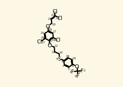 FC(F)(F)Oc1ccc(SCCCOc2c(Cl)cc(OCC=C(Cl)Cl)cc2Cl)cc1